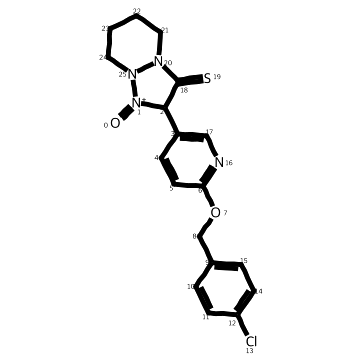 O=[N+]1C(c2ccc(OCc3ccc(Cl)cc3)nc2)C(=S)N2CCCCN21